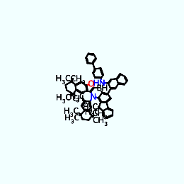 Cc1cc2c(cc1N1c3c(c(-c4cc5ccccc5cc4Nc4ccc(-c5ccccc5)cc4)cc4c3C(C)(C)c3ccccc3-4)Bc3oc4cc5c(cc4c31)C(C)(C)CCC5(C)C)C(C)(C)CCC2(C)C